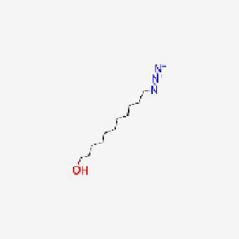 [N-]=[N+]=NCCCCCCCCCCCO